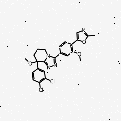 COc1cc(-c2nnc3n2CCCC3(OC)c2ccc(Cl)c(Cl)c2)ccc1-c1cnc(C)o1